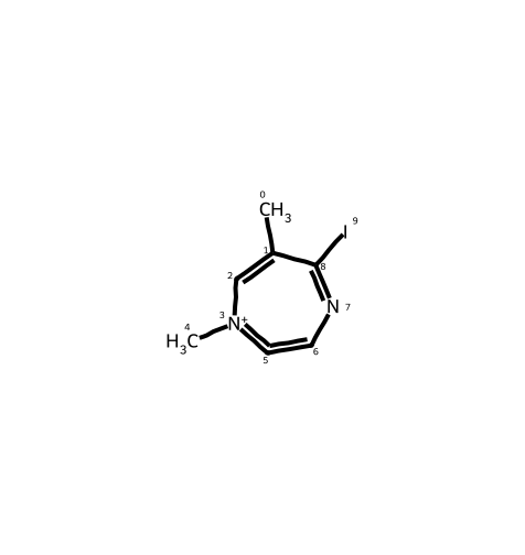 CC1=C[N+](C)=C=CN=C1I